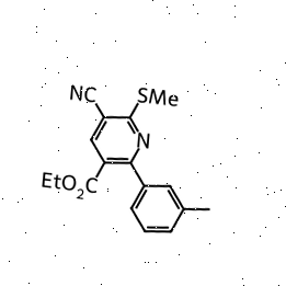 CCOC(=O)c1cc(C#N)c(SC)nc1-c1cccc(C)c1